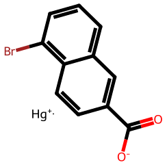 O=C([O-])c1ccc2c(Br)cccc2c1.[Hg+]